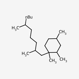 CCCCC(C)CCCC(C)CC1(C)CCC(C)CC1C